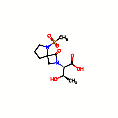 C[C@@H](O)[C@@H](C(=O)O)N1C[C@]2(CCCN2S(C)(=O)=O)C1=O